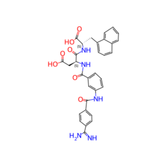 N=C(N)c1ccc(C(=O)Nc2cccc(C(=O)N[C@@H](CC(=O)O)C(=O)N[C@@H](Cc3cccc4ccccc34)C(=O)O)c2)cc1